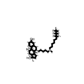 CN(CCCCCCC(F)(F)C(F)(F)C(F)(F)F)CCCCC[C@@H]1Cc2cc(O)ccc2[C@@H]2[C@@H]1[C@@H]1CC[C@@](C)(O)[C@@]1(C)C[C@@H]2F